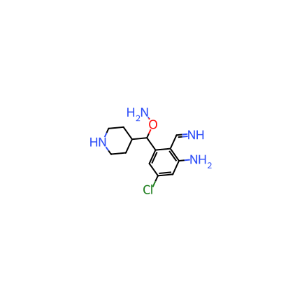 N=Cc1c(N)cc(Cl)cc1C(ON)C1CCNCC1